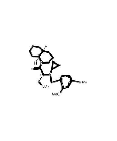 CNC[C@H](C(=O)N1CCC[C@@H]2CCCC[C@@H]21)N(Cc1ccc(OC)cc1OC)C1CC1